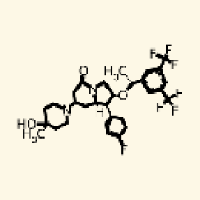 C[C@@H](O[C@H]1CN2C(=O)CC(N3CCC(C)(O)CC3)C[C@H]2[C@@H]1C1=CC=C(F)CC1)c1cc(C(F)(F)F)cc(C(F)(F)F)c1